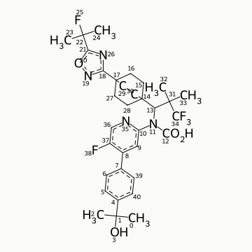 CC(C)(O)c1ccc(-c2cc(N(C(=O)O)C(C34CCC(c5noc(C(C)(C)F)n5)(CC3)CC4)C(C)(C)C(F)(F)F)ncc2F)cc1